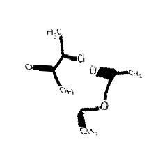 C=COC(C)=O.CC(Cl)C(=O)O